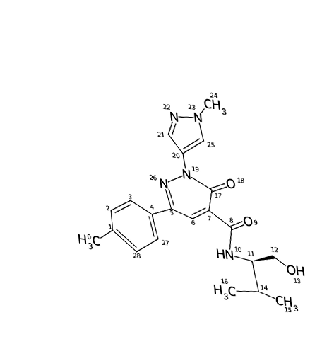 Cc1ccc(-c2cc(C(=O)N[C@@H](CO)C(C)C)c(=O)n(-c3cnn(C)c3)n2)cc1